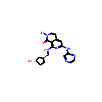 CCn1ccc2cc(Nc3cnccn3)nc(NC[C@H]3CC[C@H](O)C3)c2c1=O